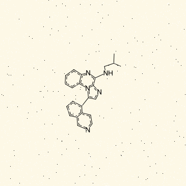 CC(C)CNc1nc2ccccc2n2c(-c3cccc4cnccc34)cnc12